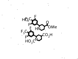 COC(=O)C1CCNC(c2cc(F)c(C(F)(F)F)c(F)c2)C1.Cl.O=C(O)C1CCN(C(=O)O)C(c2cc(F)c(C(F)(F)F)c(F)c2)C1